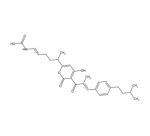 C/C(=C\c1ccc(CCC(C)C)cc1)C(=O)c1c(O)cc(C(C)CC/C=C/NC(=O)O)oc1=O